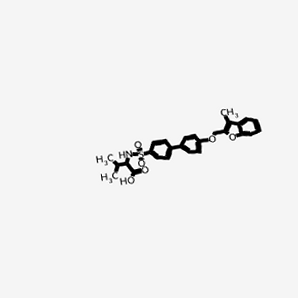 Cc1c(COc2ccc(-c3ccc(S(=O)(=O)NC(C(=O)O)C(C)C)cc3)cc2)oc2ccccc12